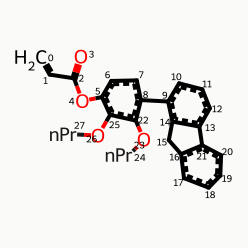 C=CC(=O)Oc1ccc(-c2cccc3c2Cc2ccccc2-3)c(OCCC)c1OCCC